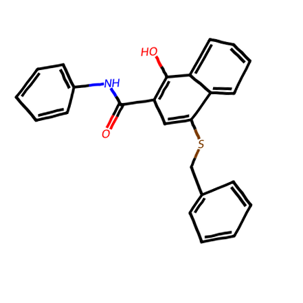 O=C(Nc1ccccc1)c1cc(SCc2ccccc2)c2ccccc2c1O